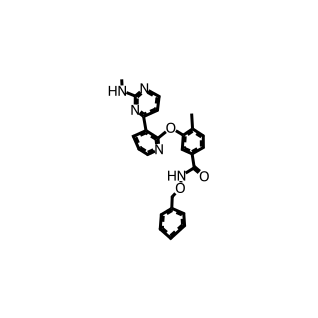 CNc1nccc(-c2cccnc2Oc2cc(C(=O)NOCc3ccccc3)ccc2C)n1